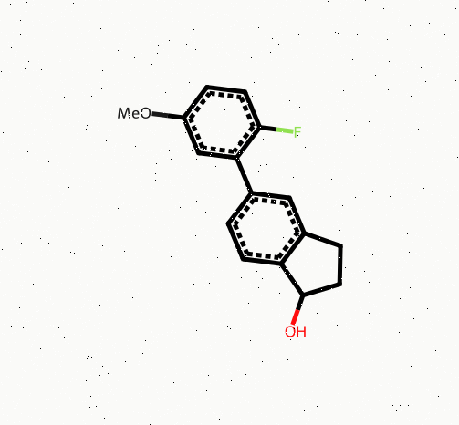 COc1ccc(F)c(-c2ccc3c(c2)CCC3O)c1